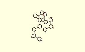 c1ccc(-n2c3ccccc3c3cc(-c4cc(-c5cccc(-c6cncc(-c7ccncc7)c6)c5)cc(-c5cccc(-c6cncc(-c7ccncc7)c6)c5)c4)c4c5ccccc5n(-c5ccccc5)c4c32)cc1